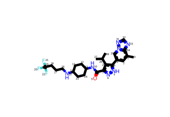 Cc1cc(-c2[nH]nc(C(=O)NC3CCC(NCCCC(F)(F)F)CC3)c2C(C)C)cn2ncnc12